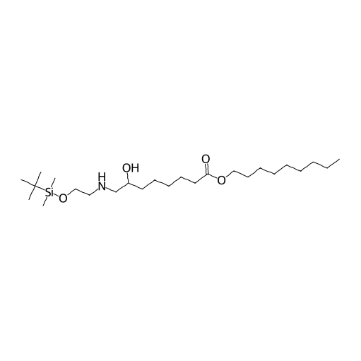 CCCCCCCCCOC(=O)CCCCCC(O)CNCCO[Si](C)(C)C(C)(C)C